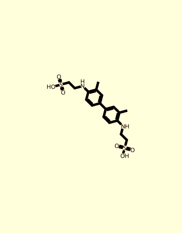 Cc1cc(-c2ccc(NCCS(=O)(=O)O)c(C)c2)ccc1NCCS(=O)(=O)O